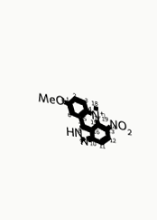 COc1ccc2c(c1)-c1[nH]nc3ccc([N+](=O)[O-])c(c13)[N+]2(C)C